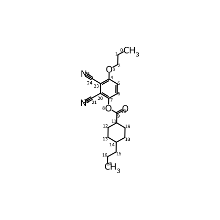 CCCOc1ccc(OC(=O)C2CCC(CCC)CC2)c(C#N)c1C#N